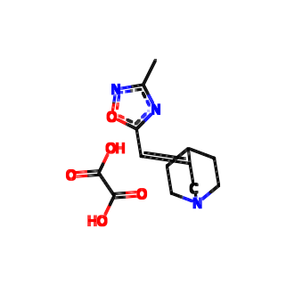 Cc1noc(C=C2CN3CCC2CC3)n1.O=C(O)C(=O)O